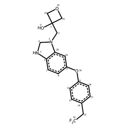 OC1(CN2CNc3ccc(Oc4ccc(CC(F)(F)F)cc4)cc32)COC1